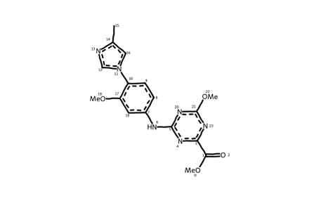 COC(=O)c1nc(Nc2ccc(-n3cnc(C)c3)c(OC)c2)nc(OC)n1